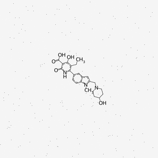 CCc1c(-c2ccc3c(c2)cc(CN2CCC(O)CC2)n3C)[nH]c(=O)c(C(=O)O)c1O